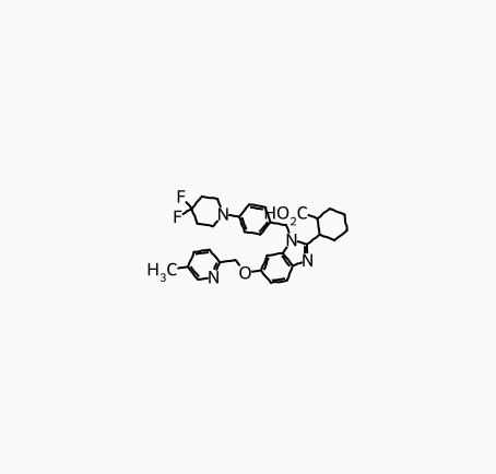 Cc1ccc(COc2ccc3nc(C4CCCCC4C(=O)O)n(Cc4ccc(N5CCC(F)(F)CC5)cc4)c3c2)nc1